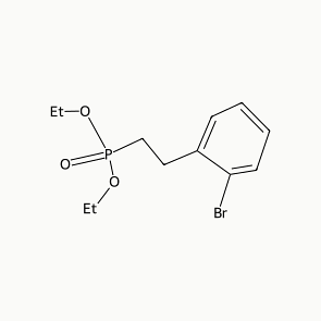 CCOP(=O)(CCc1ccccc1Br)OCC